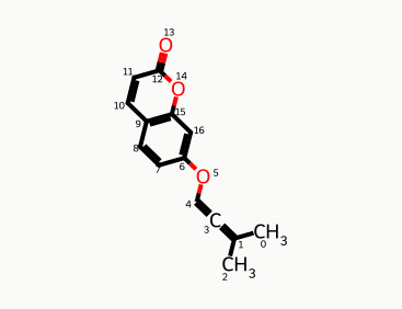 CC(C)=C=COc1ccc2ccc(=O)oc2c1